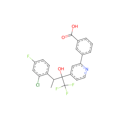 CC(c1ccc(F)cc1Cl)C(O)(c1ccnc(-c2cccc(C(=O)O)c2)c1)C(F)(F)F